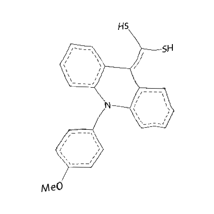 COc1ccc(N2c3ccccc3C(=C(S)S)c3ccccc32)cc1